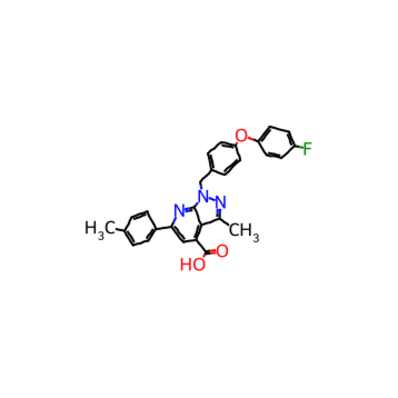 Cc1ccc(-c2cc(C(=O)O)c3c(C)nn(Cc4ccc(Oc5ccc(F)cc5)cc4)c3n2)cc1